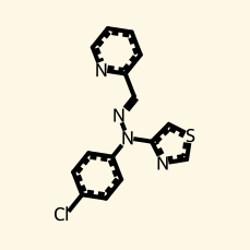 Clc1ccc(N(N=Cc2ccccn2)c2cscn2)cc1